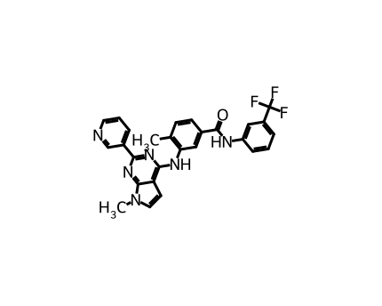 Cc1ccc(C(=O)Nc2cccc(C(F)(F)F)c2)cc1Nc1nc(-c2cccnc2)nc2c1ccn2C